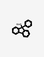 CNC1(c2ccccc2)c2ccccc2-c2ccccc21